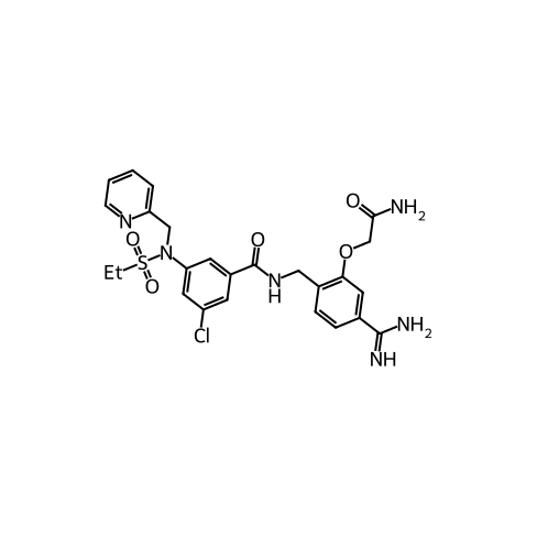 CCS(=O)(=O)N(Cc1ccccn1)c1cc(Cl)cc(C(=O)NCc2ccc(C(=N)N)cc2OCC(N)=O)c1